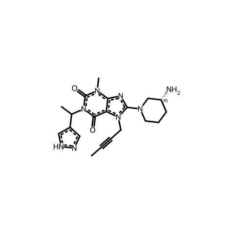 CC#CCn1c(N2CCC[C@@H](N)C2)nc2c1c(=O)n(C(C)c1cn[nH]c1)c(=O)n2C